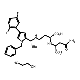 CC(C)(C)[C@@H](NCC[C@H](N[C@@H](CC(N)=O)C(=O)O)C(=O)O)c1cc(-c2cc(F)ccc2F)cn1Cc1ccccc1.OCCO